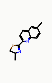 Cc1ccc2nc(C3=NC(C)CS3)ccc2c1